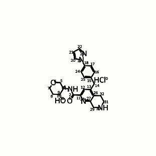 Cl.O=C(N[C@@H]1COCC[C@H]1O)c1cc(Cc2ccc(-n3cccn3)cc2)c2c(n1)CNCC2